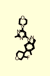 Cc1nc(N2CCOCC2)cc(-n2ncc3cc(C)c(C4CCOCC4F)cc32)n1